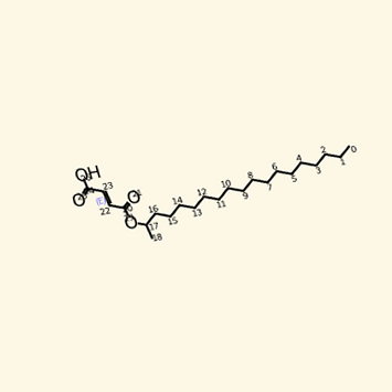 CCCCCCCCCCCCCCCCCC(C)OC(=O)/C=C/C(=O)O